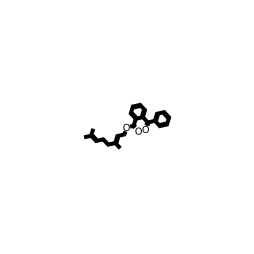 CC(C)=CCC/C(C)=C/COC(=O)c1ccccc1C(=O)c1ccccc1